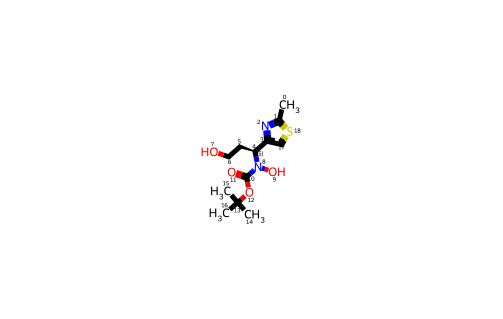 Cc1nc([C@H](CCO)N(O)C(=O)OC(C)(C)C)cs1